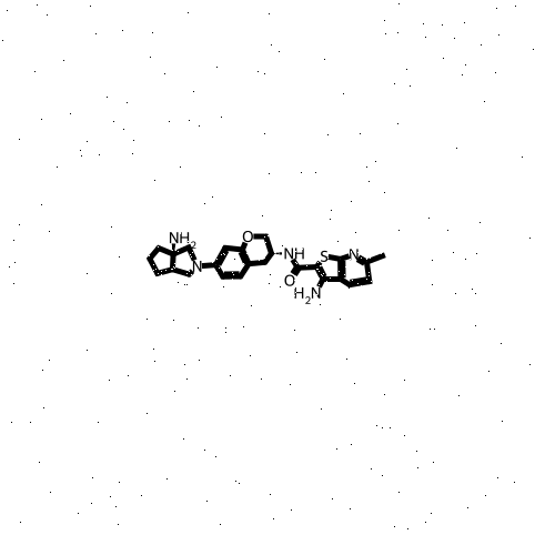 Cc1ccc2c(N)c(C(=O)N[C@H]3COc4cc(N5CC6CCC[C@]6(N)C5)ccc4C3)sc2n1